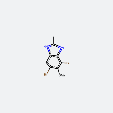 COc1c(Br)cc2[nH]c(C)nc2c1Br